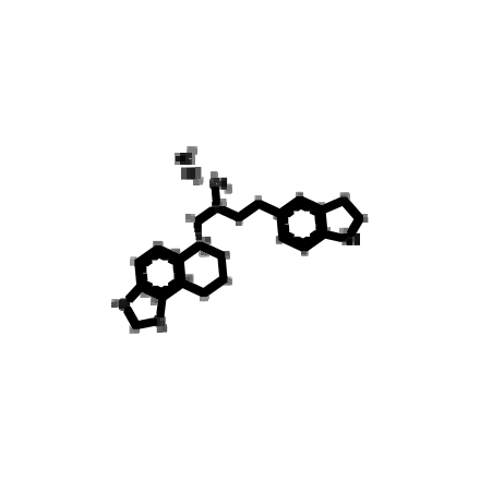 CN(CCc1ccc2c(c1)CCN2)C[C@@H]1CCCc2c1ccc1c2OCO1.Cl.Cl